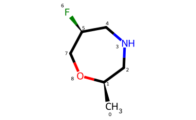 C[C@@H]1CNC[C@H](F)CO1